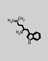 CN(C)CCC(N)Cc1c[nH]c2ccccc12